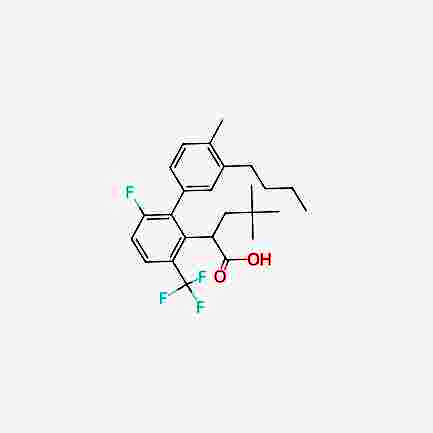 CCCCc1cc(-c2c(F)ccc(C(F)(F)F)c2C(CC(C)(C)C)C(=O)O)ccc1C